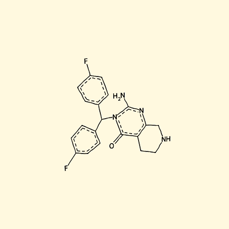 Nc1nc2c(c(=O)n1C(c1ccc(F)cc1)c1ccc(F)cc1)CCNC2